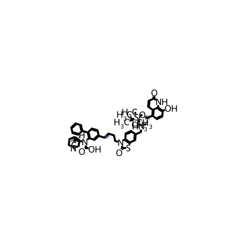 CC(C)(C)[Si](C)(C)O[C@@H](CNCc1ccc2c(c1)sc(=O)n2CC/C=C/c1ccc(-c2ccccc2)c(N(C(=O)O)[C@H]2CN3CCC2CC3)c1)c1ccc(O)c2[nH]c(=O)ccc12